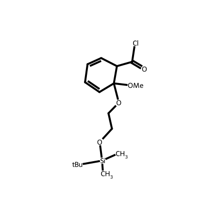 COC1(OCCO[Si](C)(C)C(C)(C)C)C=CC=CC1C(=O)Cl